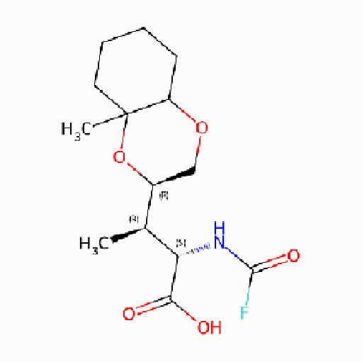 C[C@@H]([C@@H]1COC2CCCCC2(C)O1)[C@H](NC(=O)F)C(=O)O